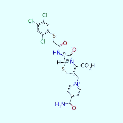 NC(=O)c1cc[n+](CC2=C(C(=O)O)N3C(=O)[C@H](NC(=O)CSc4cc(Cl)c(Cl)cc4Cl)[C@H]3SC2)cc1